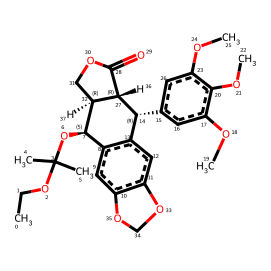 CCOC(C)(C)O[C@@H]1c2cc3c(cc2[C@@H](c2cc(OC)c(OC)c(OC)c2)[C@H]2C(=O)OC[C@@H]21)OCO3